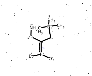 CC/[P+]([O-])=C(/C[N+](C)(C)C)ON